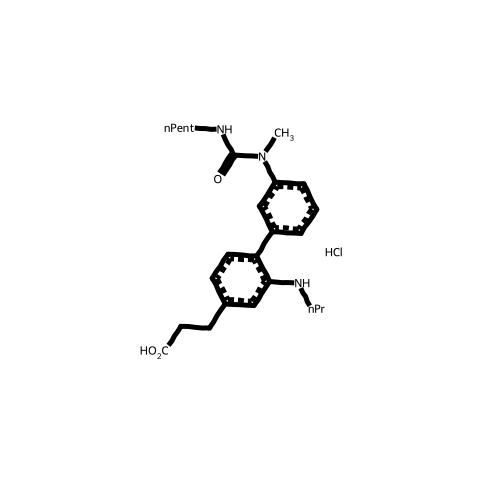 CCCCCNC(=O)N(C)c1cccc(-c2ccc(CCC(=O)O)cc2NCCC)c1.Cl